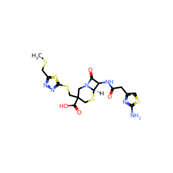 CSCc1nnc(SCC2(C(=O)O)CS[C@@H]3C(NC(=O)Cc4csc(N)n4)C(=O)N3C2)s1